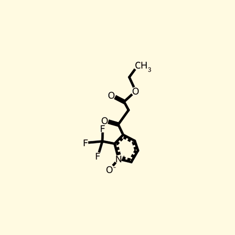 CCOC(=O)CC(=O)c1ccc[n+]([O-])c1C(F)(F)F